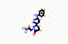 CCNC(=O)Cn1nc(-c2ccc(NC34CCC(CC3)CC4)nc2)ccc1=O